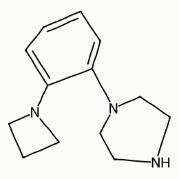 c1ccc(N2CCNCC2)c(N2CCC2)c1